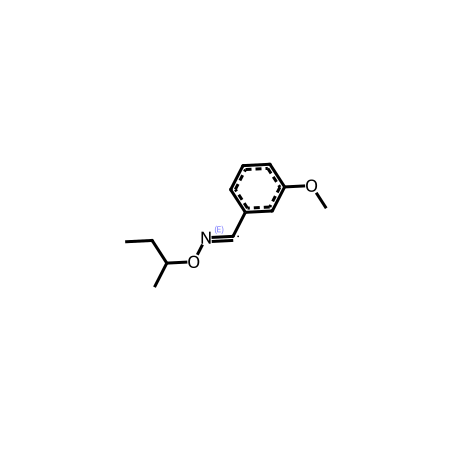 CCC(C)O/N=[C]/c1cccc(OC)c1